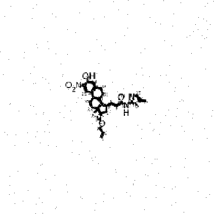 C=CCO/N=C1\CC(CCC(=O)Nc2ncc(C)s2)C2C3CCc4cc(O)c([N+](=O)[O-])cc4C3CCC12C